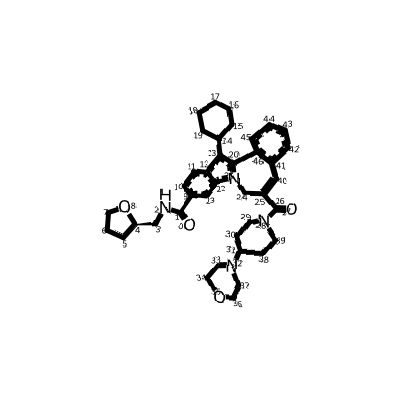 O=C(NC[C@H]1CCCO1)c1ccc2c(C3CCCCC3)c3n(c2c1)CC(C(=O)N1CCC(N2CCOCC2)CC1)=Cc1ccccc1-3